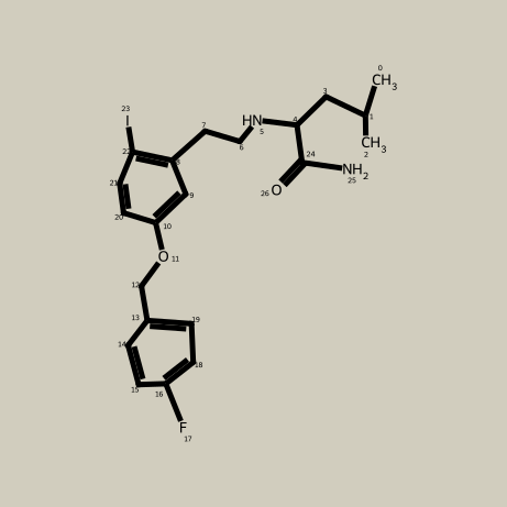 CC(C)CC(NCCc1cc(OCc2ccc(F)cc2)ccc1I)C(N)=O